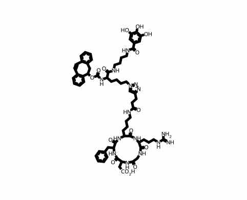 N=C(N)NCCCC1NC(=O)C(CCCCNC(=O)CCc2cn(CCCCC(NC(=O)OC3Cc4ccccc4C#Cc4ccccc43)C(=O)NCCCCNC(=O)c3cc(O)c(O)c(O)c3)nn2)NC(=O)C(Cc2ccccc2)NC(=O)C(CC(=O)O)NC(=O)CNC1=O